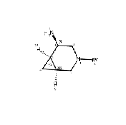 CC(C)N1C[C@H]2C[C@H]2[C@@H](N)C1